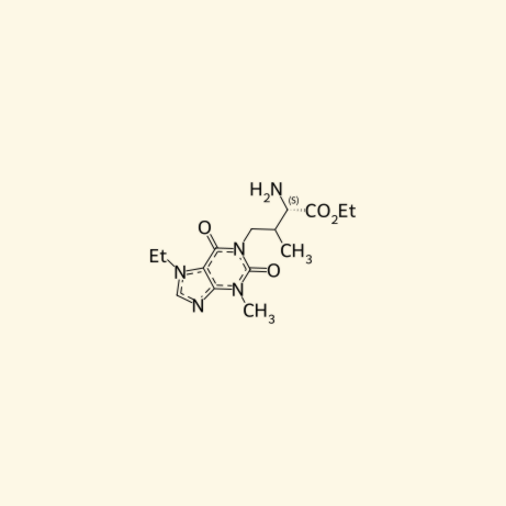 CCOC(=O)[C@@H](N)C(C)Cn1c(=O)c2c(ncn2CC)n(C)c1=O